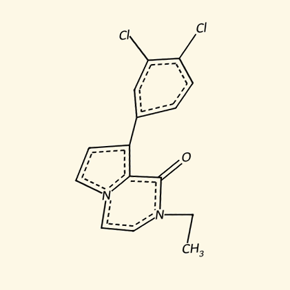 CCn1ccn2ccc(-c3ccc(Cl)c(Cl)c3)c2c1=O